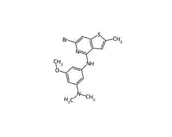 COc1cc(Nc2nc(Br)cc3sc(C)cc23)cc(N(C)C)c1